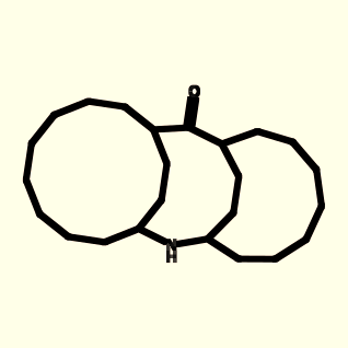 O=C1C2CCCCCCCCC(CC2)NC2CCCCCCCC1CC2